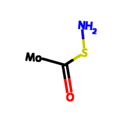 NS[C](=O)[Mo]